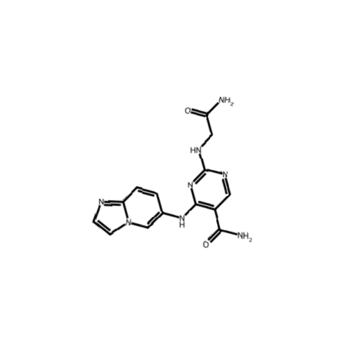 NC(=O)CNc1ncc(C(N)=O)c(Nc2ccc3nccn3c2)n1